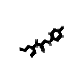 C=CC(CCC)NC(=O)COC1=CCC(C)C=C1